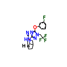 N#CN1CC2CC[C@@H](C1)C2Nc1nc(Oc2cccc(F)c2)n(CC(F)(F)F)n1